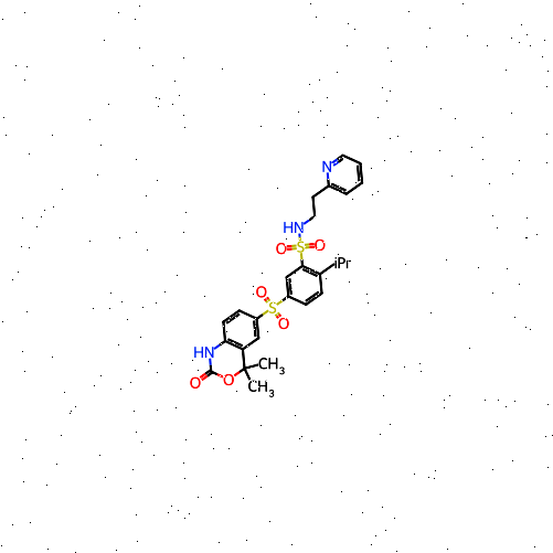 CC(C)c1ccc(S(=O)(=O)c2ccc3c(c2)C(C)(C)OC(=O)N3)cc1S(=O)(=O)NCCc1ccccn1